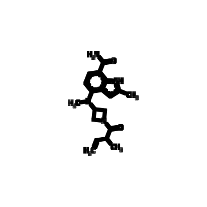 C=CC(C)C(=O)N1CC(N(C)c2ccc(C(N)=O)c3[nH]c(C)cc23)C1